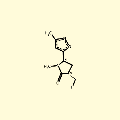 Cc1cc([C@H]2C[C@H](CF)C(=O)N2C)on1